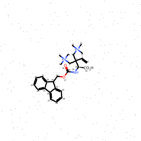 C=CC(C[N+](C)(C)C)(C[N+](C)(C)C)[C@H](NC(=O)OCC1c2ccccc2-c2ccccc21)C(=O)O